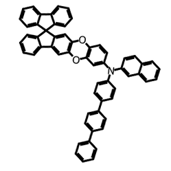 c1ccc(-c2ccc(-c3ccc(N(c4ccc5c(c4)Oc4cc6c(cc4O5)C4(c5ccccc5-c5ccccc54)c4ccccc4-6)c4ccc5ccccc5c4)cc3)cc2)cc1